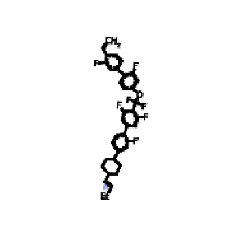 C=Cc1ccc(-c2ccc(OC(F)(F)c3c(F)cc(-c4ccc(C5CCC(/C=C/CC)CC5)cc4F)cc3F)cc2F)cc1F